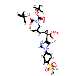 CC(C[C@H]1C[C@]1(C(=O)O)c1cn(-c2ccc(S(C)(=O)=O)cc2)cn1)CN(C(=O)OC(C)(C)C)C(=O)OC(C)(C)C